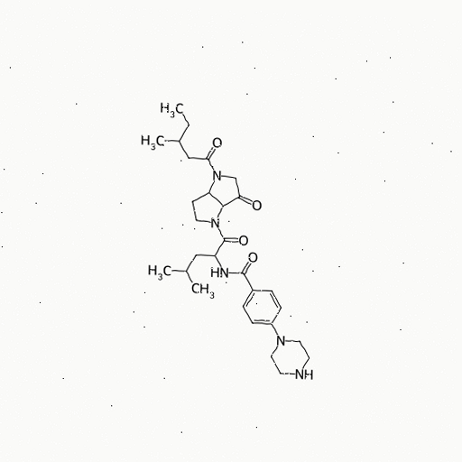 CCC(C)CC(=O)N1CC(=O)C2C1CCN2C(=O)C(CC(C)C)NC(=O)c1ccc(N2CCNCC2)cc1